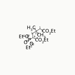 CCOC(=O)CC(C)(C)CC(C(=O)OCC)P(=O)(OCC)OCC